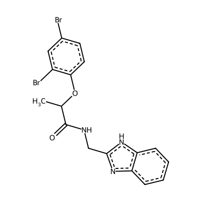 CC(Oc1ccc(Br)cc1Br)C(=O)NCc1nc2ccccc2[nH]1